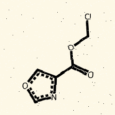 O=C(OCCl)c1cocn1